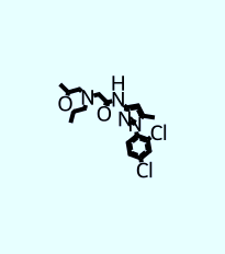 Cc1cc(NC(=O)CN2CC(C)OC(C)C2)nn1-c1ccc(Cl)cc1Cl